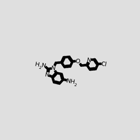 Nc1ccc2nc(N)n(Cc3ccc(OCc4ccc(Cl)cn4)cc3)c2c1